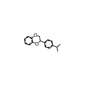 CC(C)c1ccc(C2COc3ccccc3O2)cc1